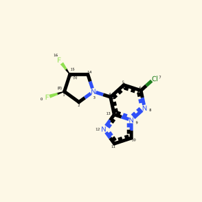 F[C@@H]1CN(c2cc(Cl)nn3ccnc23)C[C@@H]1F